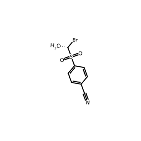 C[C@H](Br)S(=O)(=O)c1ccc(C#N)cc1